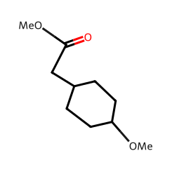 COC(=O)CC1CCC(OC)CC1